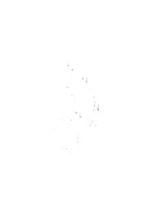 CN(C)C1=CC2=CN(C3C=CC/C=C\C=C/3)C(=O)N=CC2N1